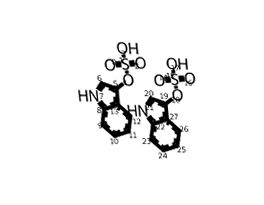 O=S(=O)(O)Oc1c[nH]c2ccccc12.O=S(=O)(O)Oc1c[nH]c2ccccc12